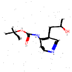 CC(O)Cc1cnccc1NC(=O)OC(C)(C)C